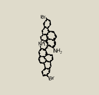 Nc1cc2ccc3c4ccc(Br)cc4cc4ccc(c1-c1c(N)cc5ccc6c7ccc(Br)cc7cc7ccc1c5c76)c2c43